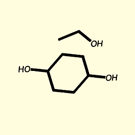 CCO.OC1CCC(O)CC1